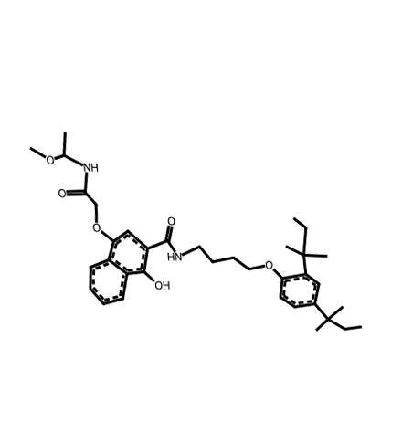 CCC(C)(C)c1ccc(OCCCCNC(=O)c2cc(OCC(=O)NC(C)OC)c3ccccc3c2O)c(C(C)(C)CC)c1